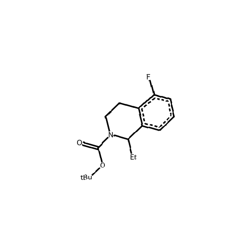 CCC1c2cccc(F)c2CCN1C(=O)OC(C)(C)C